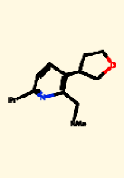 CNCc1nc(C(C)C)ccc1[C@H]1CCOC1